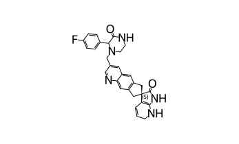 O=C1NCCN(Cc2cnc3cc4c(cc3c2)C[C@@]2(C4)C(=O)NC3=C2C=CCN3)C1c1ccc(F)cc1